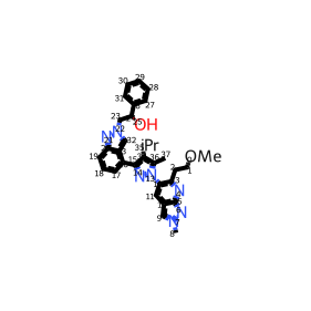 COCCc1nc2nn(C)cc2cc1-n1nc(-c2cccc3nn(C[C@H](O)c4ccccc4)cc23)c(C(C)C)c1C